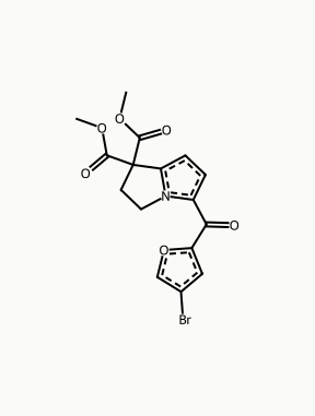 COC(=O)C1(C(=O)OC)CCn2c(C(=O)c3cc(Br)co3)ccc21